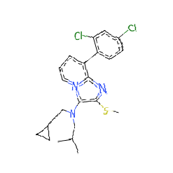 CSc1nc2c(-c3ccc(Cl)cc3Cl)cccn2c1N(CC(C)C)CC1CC1